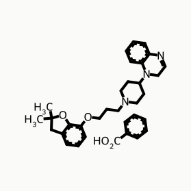 CC1(C)Cc2cccc(OCCCN3CCC(N4CC=Nc5ccccc54)CC3)c2O1.O=C(O)c1ccccc1